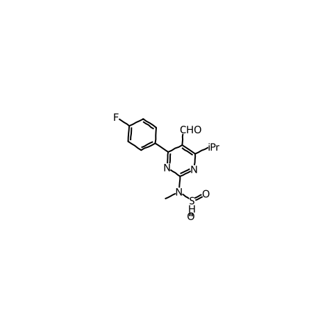 CC(C)c1nc(N(C)[SH](=O)=O)nc(-c2ccc(F)cc2)c1C=O